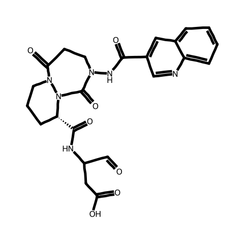 O=CC(CC(=O)O)NC(=O)[C@@H]1CCCN2C(=O)CCN(NC(=O)c3cnc4ccccc4c3)C(=O)N12